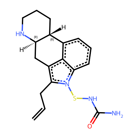 C=CCc1c2c3c(cccc3n1SNC(N)=O)[C@H]1CCCN[C@@H]1C2